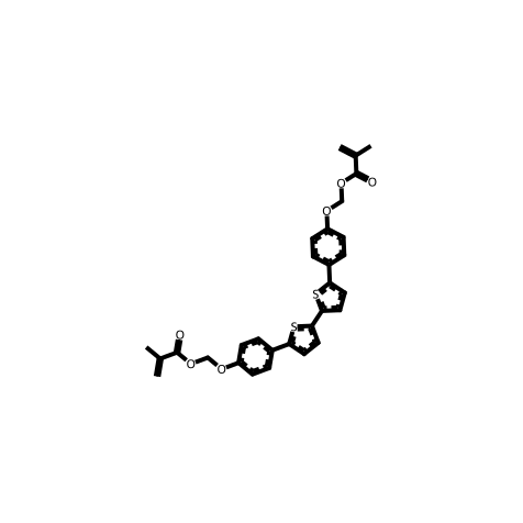 C=C(C)C(=O)OCOc1ccc(-c2ccc(-c3ccc(-c4ccc(OCOC(=O)C(=C)C)cc4)s3)s2)cc1